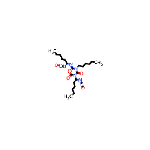 CCCCCCn1c(=O)n(C(CCCCC)N=C=O)c(=O)o/c1=N\C(CCCCC)N=C=O